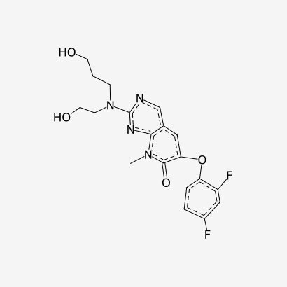 Cn1c(=O)c(Oc2ccc(F)cc2F)cc2cnc(N(CCO)CCCO)nc21